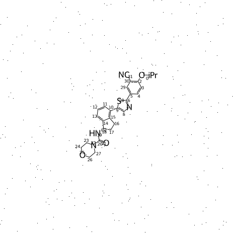 CC(C)Oc1ccc(-c2ncc(-c3cccc4c3CC[C@@H]4NC(=O)N3CCOCC3)s2)cc1C#N